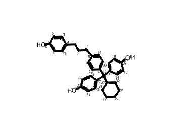 Oc1ccc(CCCc2ccc(C(c3ccc(O)cc3)(c3ccc(O)cc3)C3CCCCC3)cc2)cc1